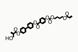 C=CC(=O)OCCCCOC(=O)Oc1ccc(C(=O)Oc2ccc(-c3ccc(OC(=O)C(=C)CO)cc3)cc2)cc1